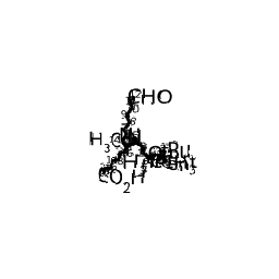 CCCCCC(C=Cc1nn(CCCCCC=O)c(C)c1CC=CCCCC(=O)O)O[Si](C)(C)C(C)(C)C